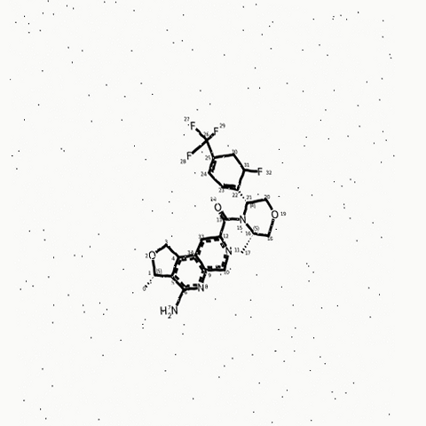 C[C@@H]1OCc2c1c(N)nc1cnc(C(=O)N3[C@@H](C)COC[C@H]3C3=CC=C(C(F)(F)F)CC3F)cc21